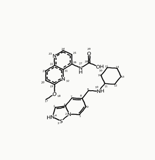 C1=CN2SNC=C2C=C1CNC1CCCCC1.COc1ccc2nccc(NC(=O)O)c2n1